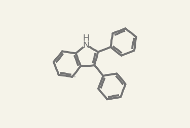 [c]1cccc2[nH]c(-c3ccccc3)c(-c3ccccc3)c12